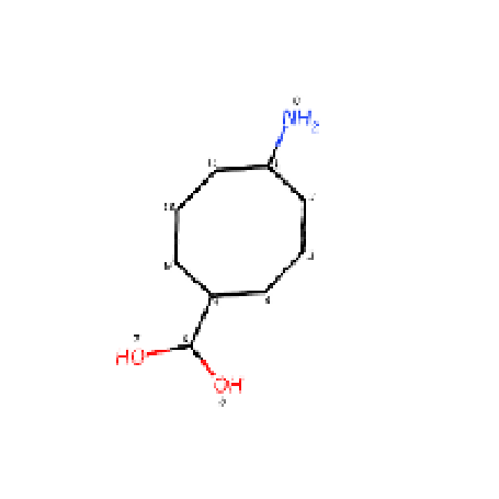 NC1CCCC(C(O)O)CCC1